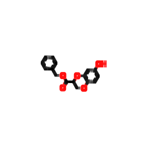 O=C(OCc1ccccc1)C1COc2ccc(O)cc2O1